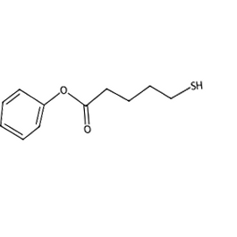 O=C(CCCCS)Oc1ccccc1